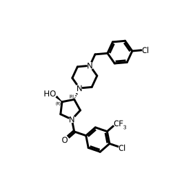 O=C(c1ccc(Cl)c(C(F)(F)F)c1)N1C[C@@H](O)[C@H](N2CCN(Cc3ccc(Cl)cc3)CC2)C1